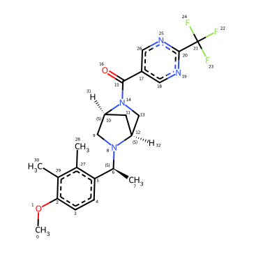 COc1ccc([C@H](C)N2C[C@@H]3C[C@H]2CN3C(=O)c2cnc(C(F)(F)F)nc2)c(C)c1C